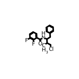 CC(CCl)C(Cc1ccccc1)NC(=O)c1cccc(F)c1F